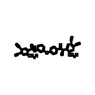 C#Cc1cc(C(=O)O)c(C(=O)Nc2ccc(Oc3cccc(NC(=O)c4cc(C#C)c(C#C)cc4C(=O)O)c3)cc2)cc1C#C